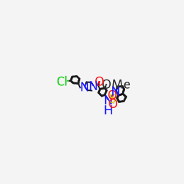 COc1cc(NS(=O)(=O)c2cccc3cccnc23)ccc1C(=O)N1CCN(Cc2cccc(Cl)c2)CC1